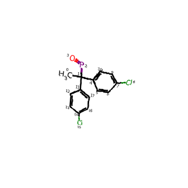 CC(P=O)(c1ccc(Cl)cc1)c1ccc(Cl)cc1